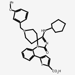 CC(C)Oc1cccc(CN2CCC3(CC2)C(NC2CCCCC2)=NC(=O)N3c2ccccc2-c2ccc(C(=O)O)s2)c1